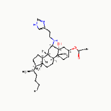 CCCC(=O)O[C@H]1CC[C@]2(C)[C@H]3CC[C@]4(C)[C@@H]([C@H](C)CCCC(C)C)CC[C@H]4[C@@H]3C[C@@H](NCCc3c[nH]cn3)[C@@]2(O)C1